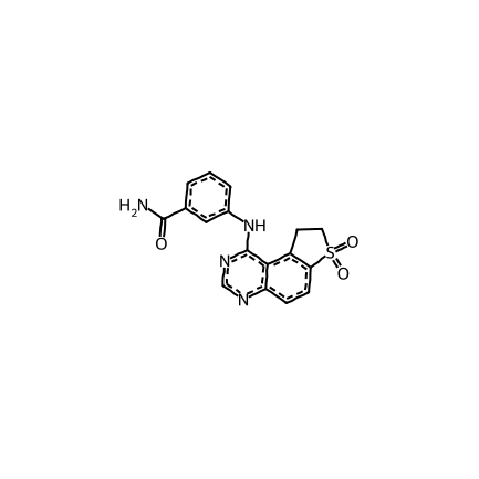 NC(=O)c1cccc(Nc2ncnc3ccc4c(c23)CCS4(=O)=O)c1